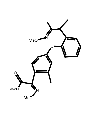 CNC(=O)C(=NOC)c1ccc(Oc2ccccc2C(C)C(C)=NOC)cc1C